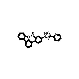 COc1cc(-n2nnc(-c3ccccn3)n2)ccc1-c1cccc2c1oc1ccccc12